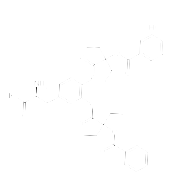 CCC(CC)(OC(=O)c1ccccc1)C(=O)Oc1ccc(C[C@H](N)C(=O)O)cc1OC(=O)C(CC)(CC)OC(=O)c1ccccc1.Cl